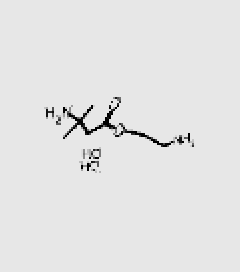 CC(C)(N)CC(=O)OCCN.Cl.Cl